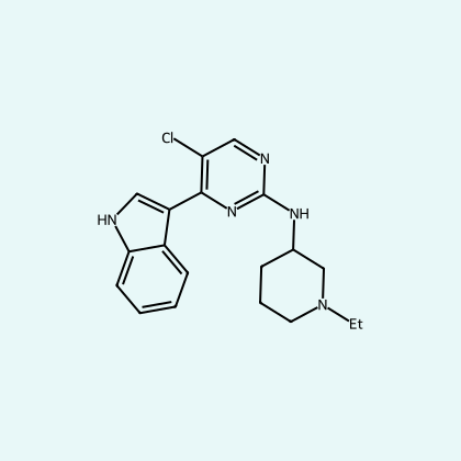 CCN1CCCC(Nc2ncc(Cl)c(-c3c[nH]c4ccccc34)n2)C1